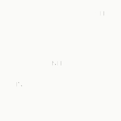 CCCCCNCC1CCCCN1